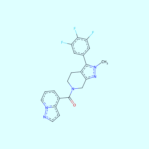 Cn1nc2c(c1-c1cc(F)c(F)c(F)c1)CCN(C(=O)c1cccn3nccc13)C2